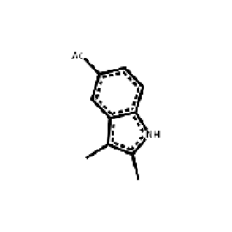 CC(=O)c1ccc2[nH]c(C)c(C)c2c1